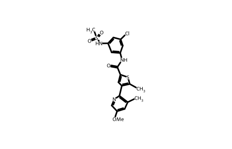 COc1cnc(-c2cc(C(=O)Nc3cc(Cl)cc(NS(C)(=O)=O)c3)sc2C)c(C)c1